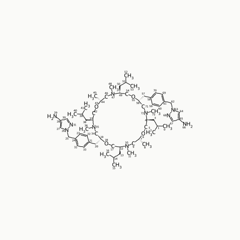 CC(C)C[C@H]1CO[C@H](C)CN(C)[C@@H](CC(C)C)CO[C@H](Cc2ccc(Cn3cc(N)cn3)cc2)CN(C)[C@@H](CC(C)C)CO[C@H](C)CN(C)[C@@H](CC(C)C)CO[C@H](Cc2ccc(Cn3cc(N)cn3)cc2)CN1C